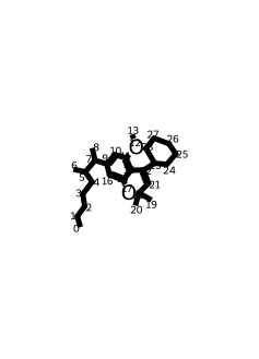 CCCCCC(C)C(C)c1cc(OC)c2c(c1)OC(C)(C)C=C2C1CCCCC1